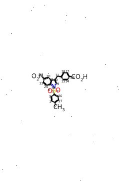 Cc1ccc(S(=O)(=O)n2cc(Cc3ccc(C(=O)O)cc3)c3cc([N+](=O)[O-])ccc32)cc1